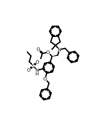 CCCS(=O)(=O)Nc1cc([C@H](CN(Cc2ccccc2)C2(C)Cc3ccccc3C2)OC(C)=O)ccc1OCc1ccccc1